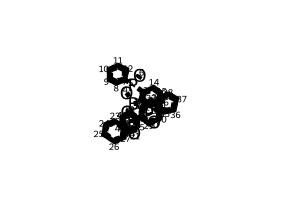 O=P(OB(OP(=O)(c1ccccc1)c1ccccc1)OP(=O)(c1ccccc1)c1ccccc1)(c1ccccc1)c1ccccc1